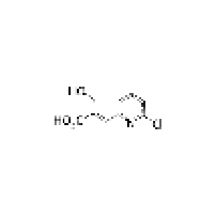 O=C(O)C(=Cc1cccc(Cl)n1)CO